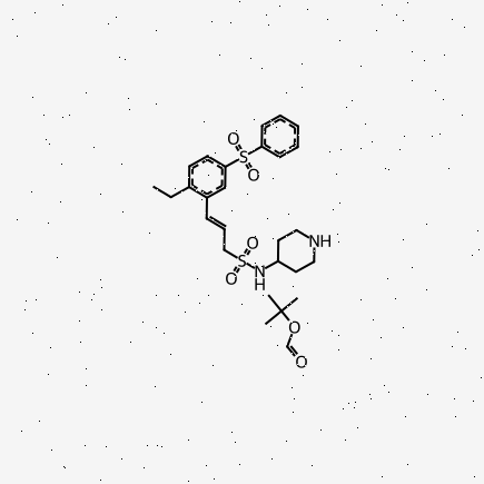 CC(C)(C)OC=O.CCc1ccc(S(=O)(=O)c2ccccc2)cc1C=CCS(=O)(=O)NC1CCNCC1